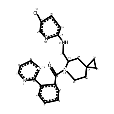 O=C(c1ccccc1-c1ncccn1)N1CCC2(CC2)CC1CNc1ccc(Cl)cn1